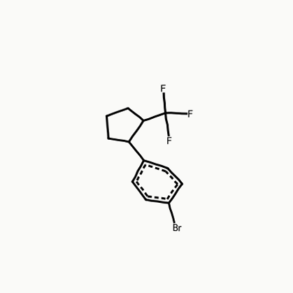 FC(F)(F)C1CCCC1c1ccc(Br)cc1